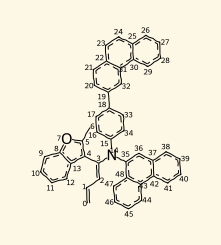 C=C/C=C(\c1c(C)oc2ccccc12)N(c1ccc(-c2ccc3ccc4ccccc4c3c2)cc1)c1cc2ccccc2c2ccccc12